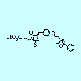 CCOC(=O)CCCN1C(=O)/C(=C/c2ccc(OCCc3nc(-c4ccccc4)oc3C)cc2)SC1=S